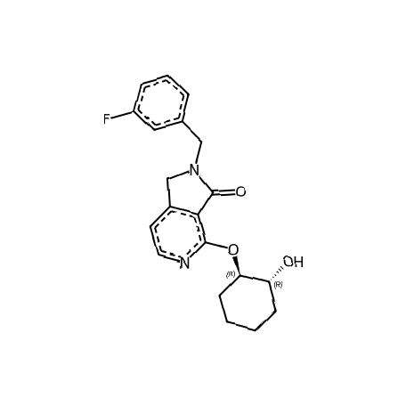 O=C1c2c(ccnc2O[C@@H]2CCCC[C@H]2O)CN1Cc1cccc(F)c1